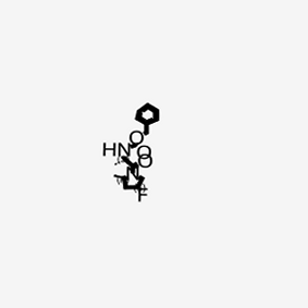 C[C@H](NC(=O)OCc1ccccc1)C(=O)N1C[C@@H](F)C[C@H]1C